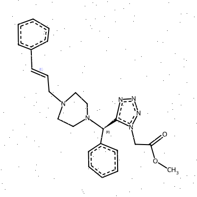 COC(=O)Cn1nnnc1[C@@H](c1ccccc1)N1CCN(C/C=C/c2ccccc2)CC1